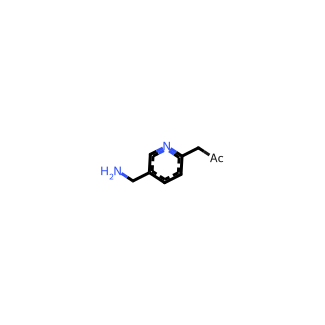 CC(=O)Cc1ccc(CN)cn1